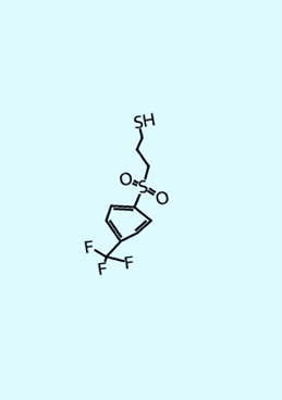 O=S(=O)(CCCS)c1ccc(C(F)(F)F)cc1